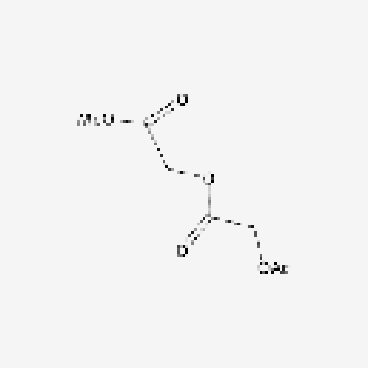 COC(=O)COC(=O)COC(C)=O